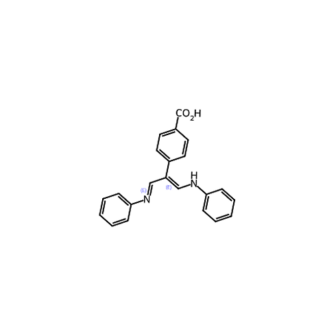 O=C(O)c1ccc(C(/C=N/c2ccccc2)=C\Nc2ccccc2)cc1